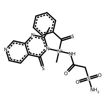 Cc1nc2cnccc2c(=S)n1[N+](C)(NC(=O)CS(N)(=O)=O)C(=S)c1ccccc1